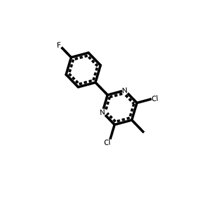 Cc1c(Cl)nc(-c2ccc(F)cc2)nc1Cl